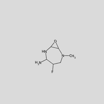 CN1CC(F)C(N)NC2OC21